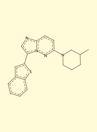 CC1CCCN(c2ccc3ncc(-c4cc5ccccc5s4)n3n2)C1